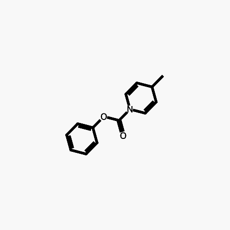 CC1C=CN(C(=O)Oc2ccccc2)C=C1